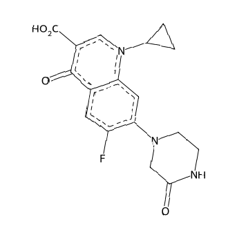 O=C1CN(c2cc3c(cc2F)c(=O)c(C(=O)O)cn3C2CC2)CCN1